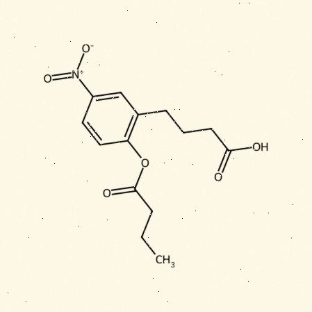 CCCC(=O)Oc1ccc([N+](=O)[O-])cc1CCCC(=O)O